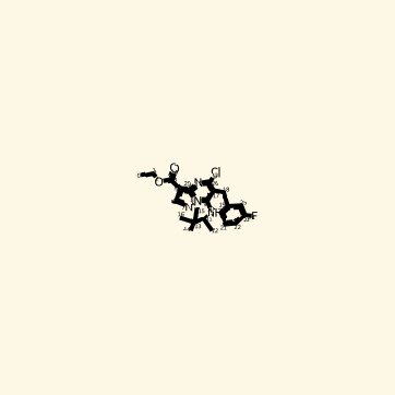 CCOC(=O)c1cnn2c(NC(C)C(C)(C)C)c(Cc3cccc(F)c3)c(Cl)nc12